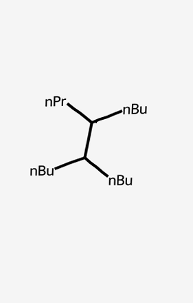 CCCC[C](CCC)C(CCCC)CCCC